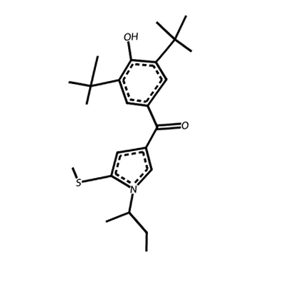 CCC(C)n1cc(C(=O)c2cc(C(C)(C)C)c(O)c(C(C)(C)C)c2)cc1SC